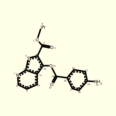 CC(C)OC(=O)c1sc2ncccc2c1OC(=O)c1ccc(N)cc1